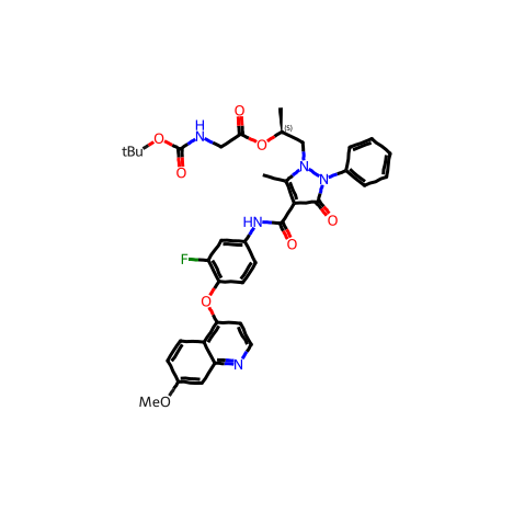 COc1ccc2c(Oc3ccc(NC(=O)c4c(C)n(C[C@H](C)OC(=O)CNC(=O)OC(C)(C)C)n(-c5ccccc5)c4=O)cc3F)ccnc2c1